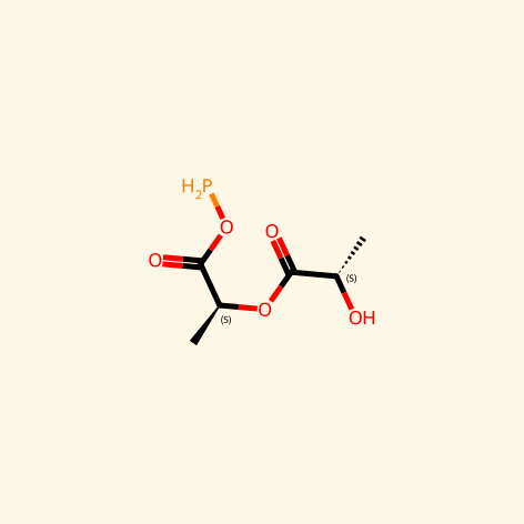 C[C@H](O)C(=O)O[C@@H](C)C(=O)OP